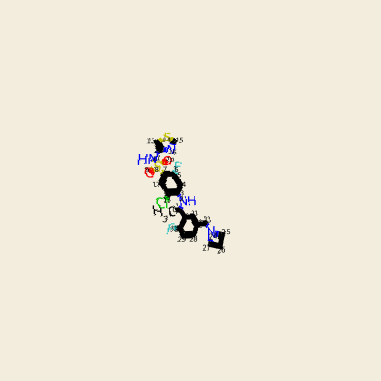 CC(Nc1cc(F)c(S(=O)(=O)Nc2cscn2)cc1Cl)c1cc(CN2CCC2)ccc1F